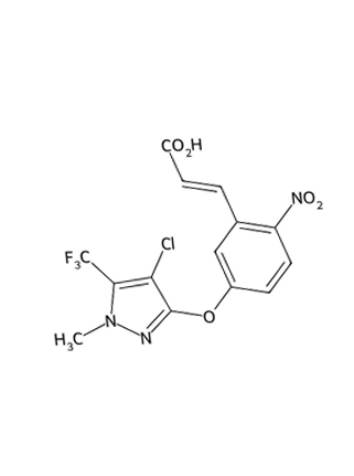 Cn1nc(Oc2ccc([N+](=O)[O-])c(C=CC(=O)O)c2)c(Cl)c1C(F)(F)F